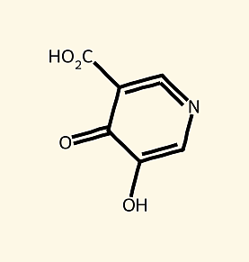 O=C(O)C1=C=NC=C(O)C1=O